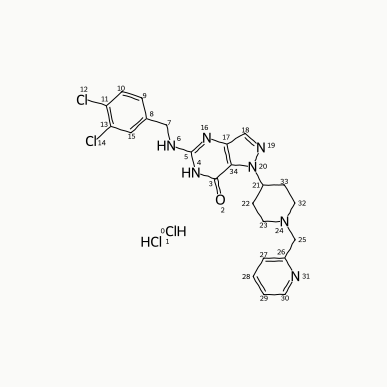 Cl.Cl.O=c1[nH]c(NCc2ccc(Cl)c(Cl)c2)nc2cnn(C3CCN(Cc4ccccn4)CC3)c12